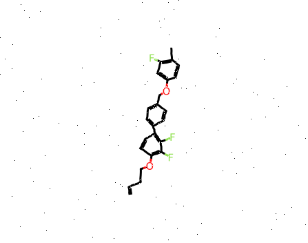 C=CCCOc1ccc(-c2ccc(COc3ccc(C)c(F)c3)cc2)c(F)c1F